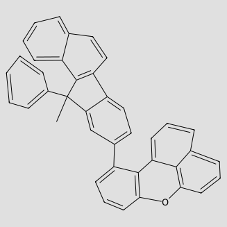 CC1(c2ccccc2)c2cc(-c3cccc4c3-c3cccc5cccc(c35)O4)ccc2-c2ccc3ccccc3c21